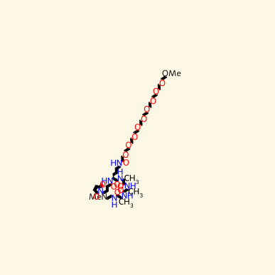 CNCCNC(=O)[C@H](C)NC(=O)[C@H](C)NC(=O)[C@H](C)NC(=O)[C@H](CCCCNC(=O)COCCOCCOCCOCCOCCOCCOCCOCCOCCOC)NC(=O)CCCN1C(=O)C=CC1=O